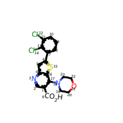 O=C(O)c1cnc2cc(-c3cccc(Cl)c3Cl)sc2c1N1CCOCC1